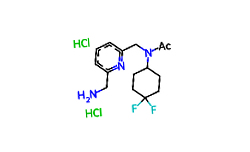 CC(=O)N(Cc1cccc(CN)n1)C1CCC(F)(F)CC1.Cl.Cl